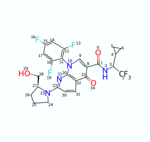 O=C(NC(C1CC1)C(F)(F)F)c1cn(-c2c(F)cc(F)cc2F)c2nc(N3CCC[C@H]3CO)ccc2c1=O